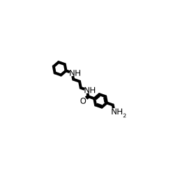 NCc1ccc(C(=O)NCCCNC2CCCCC2)cc1